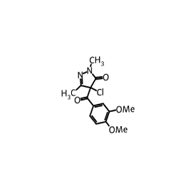 COc1ccc(C(=O)C2(Cl)C(=O)N(C)N=C2C)cc1OC